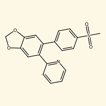 CS(=O)(=O)c1ccc(-c2cc3c(cc2-c2[c]cccn2)OCO3)cc1